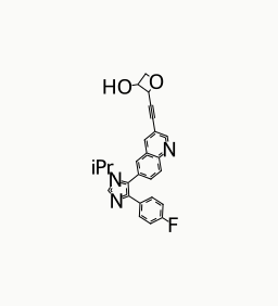 CC(C)n1cnc(-c2ccc(F)cc2)c1-c1ccc2ncc(C#CC3OCC3O)cc2c1